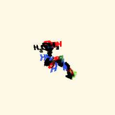 CC1(C)C[C@H](CCCNc2cccc(S(=O)(=O)NC(=O)c3ccc(-n4ccc(OCC5(C(F)(F)F)CC5)n4)nc3Cl)n2)CN1C(=O)O